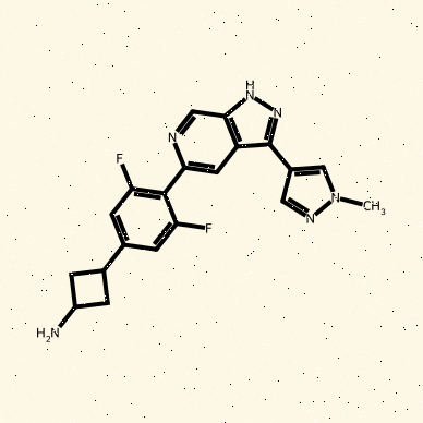 Cn1cc(-c2n[nH]c3cnc(-c4c(F)cc(C5CC(N)C5)cc4F)cc23)cn1